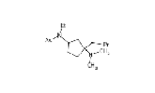 CCN(C(C)=O)C1CCC(CC(C)C)(N(C)C)C1